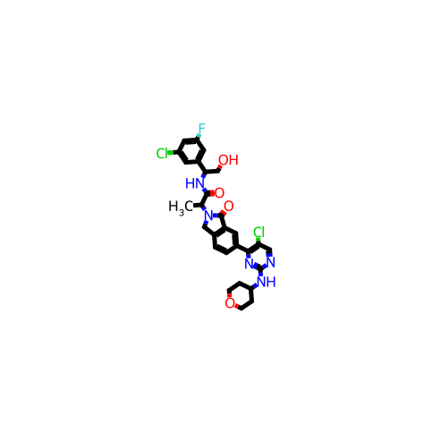 CC(C(=O)NC(CO)c1cc(F)cc(Cl)c1)N1Cc2ccc(-c3nc(NC4CCOCC4)ncc3Cl)cc2C1=O